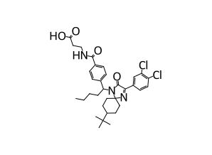 CCCCC(c1ccc(C(=O)NCCC(=O)O)cc1)N1C(=O)C(c2ccc(Cl)c(Cl)c2)=NC12CCC(C(C)(C)C)CC2